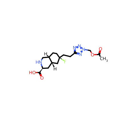 CC(=O)OCn1nnc(CC[C@@]2(F)CC[C@H]3CN[C@H](C(=O)O)C[C@H]3C2)n1